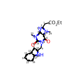 CCOC(=O)Cc1nc2c(c(=O)n(Cc3cc4ccccc4[nH]3)c(=O)n2C)n1C